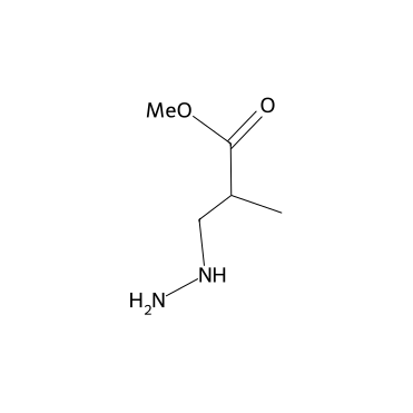 COC(=O)C(C)CNN